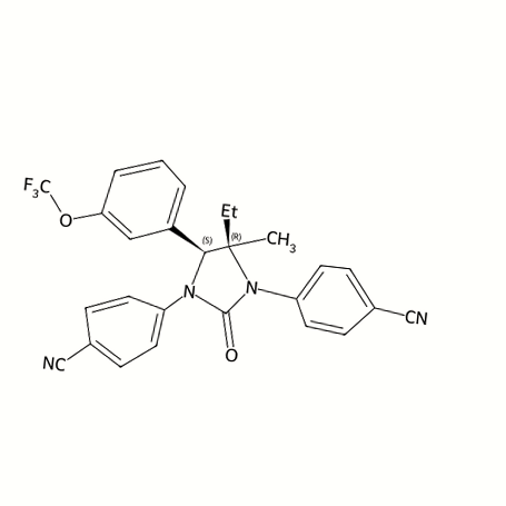 CC[C@]1(C)[C@H](c2cccc(OC(F)(F)F)c2)N(c2ccc(C#N)cc2)C(=O)N1c1ccc(C#N)cc1